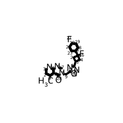 Cc1ccnc2ncn(Cc3nc(C4CC(F)(c5ccc(F)cc5)C4)no3)c(=O)c12